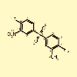 Cc1cc(S(=O)(=O)c2ccc(F)c([N+](=O)[O-])c2)ccc1F